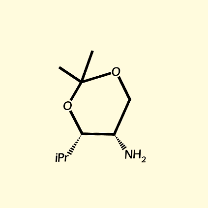 CC(C)[C@@H]1OC(C)(C)OC[C@@H]1N